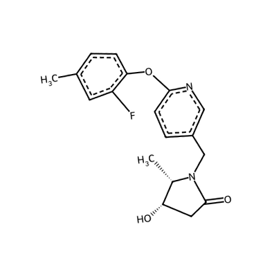 Cc1ccc(Oc2ccc(CN3C(=O)C[C@H](O)[C@@H]3C)cn2)c(F)c1